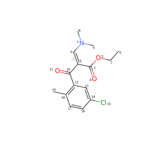 CCOC(=O)/C(=C\N(C)C)C(=O)c1cc(Cl)ccc1C